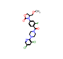 COCC1COC(=O)N1c1ccc(C(=O)N2CCN(c3ncc(Cl)cc3Cl)CC2)c(F)c1